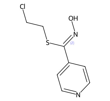 O/N=C(\SCCCl)c1ccncc1